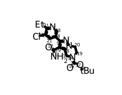 CCc1ncc(-c2nn3c(c2C(N)=O)CN(C(=O)OC(C)(C)C)CC3)cc1Cl